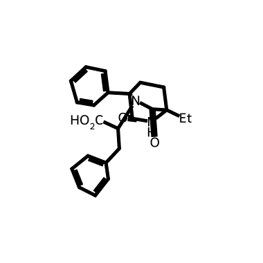 CCC12CCC(c3ccccc3)(C(=O)N1)N(C(Cc1ccccc1)C(=O)O)C2=O